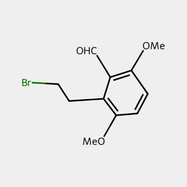 COc1ccc(OC)c(CCBr)c1C=O